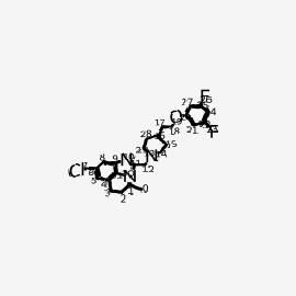 CC1CCc2cc(Cl)cc3nc(CN4CCC(CCOc5cc(F)cc(F)c5)CC4)n1c23